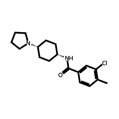 Cc1ccc(C(=O)N[C@H]2CC[C@@H](N3CCCC3)CC2)cc1Cl